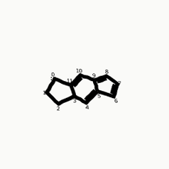 [C]1CCC2C=C3C=CC=C3C=C12